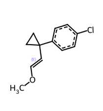 CO/C=C/C1(c2ccc(Cl)cc2)CC1